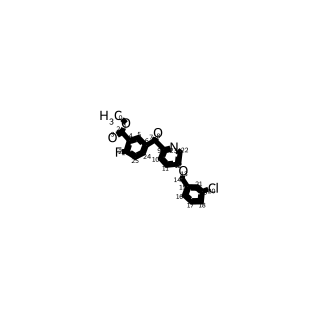 COC(=O)c1cc(C(=O)c2ccc(OCc3cccc(Cl)c3)cn2)ccc1F